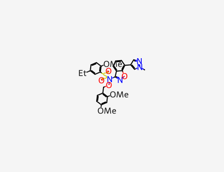 CCc1ccc(OC)c(S(=O)(=O)N(OCc2ccc(OC)cc2OC)c2noc3c(-c4cnn(C)c4)cccc23)c1